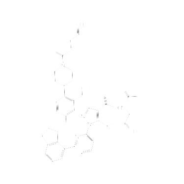 C=CCOC(=O)Cl.C=CCOC(=O)N1CCC(c2ccc(O[C@H]3CCc4cccc(-c5cccc(-n6ncc(C(=O)O)c6CC)n5)c43)cc2CC)CC1